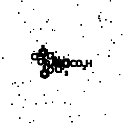 Cc1cc(Cl)c(C(=O)CN(CC2CCCCC2)C(=O)c2cnn([C@H]3CC[C@H](C(=O)O)CC3)c2C(F)(F)F)c(Cl)c1